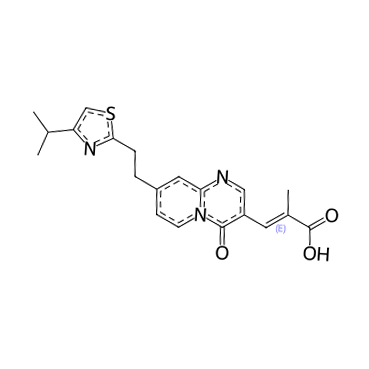 C/C(=C\c1cnc2cc(CCc3nc(C(C)C)cs3)ccn2c1=O)C(=O)O